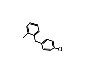 Cc1ccccc1Cc1ccc(Cl)cc1